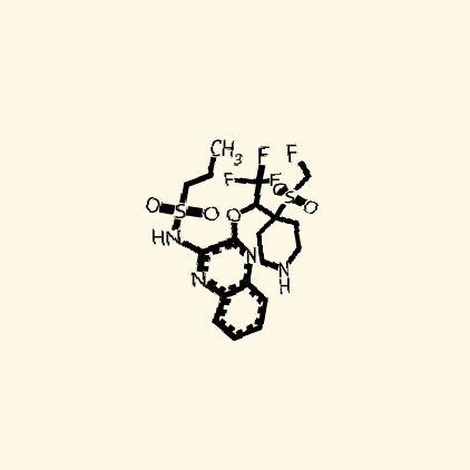 CCCS(=O)(=O)Nc1nc2ccccc2nc1OC(C(F)(F)F)C1(S(=O)(=O)CF)CCNCC1